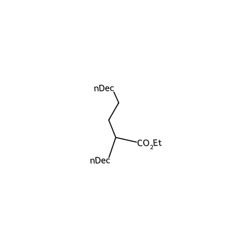 CCCCCCCCCCCCC(CCCCCCCCCC)C(=O)OCC